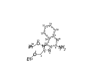 CCOCc1nc2c(N)nc3ccccc3c2n1OC(C)C